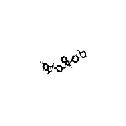 O=C(NC1CCC(Cn2c(=O)n(-c3ccc(N4CCCCC4=O)nc3)c3ccccc32)CC1)c1cc(Cl)cnc1C(F)F